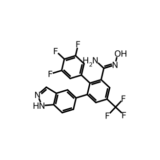 N/C(=N\O)c1cc(C(F)(F)F)cc(-c2ccc3[nH]ncc3c2)c1-c1cc(F)c(F)c(F)c1